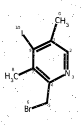 Cc1cnc(CBr)c(C)c1I